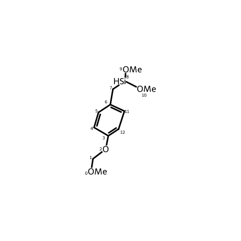 COCOc1ccc(C[SiH](OC)OC)cc1